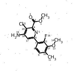 COC(=O)c1nc(-c2ccc(C)c(OC)c2F)cc(N)c1Cl